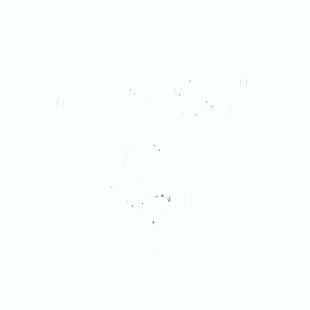 CCC(C)C(C(CC(=O)N1CCCC1C(OC)C(C)C(=O)NC(Cc1ccccc1)C(=O)O)OC)N(C)C(=O)CNC(=O)C(C(C)C)N(C)C(=O)CCCCCN1C(=O)C=CC1=O